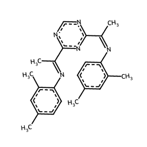 CC(=Nc1ccc(C)cc1C)c1ncnc(C(C)=Nc2ccc(C)cc2C)n1